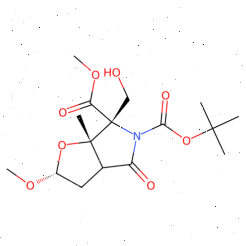 COC(=O)[C@]1(CO)N(C(=O)OC(C)(C)C)C(=O)C2C[C@H](OC)O[C@@]21C